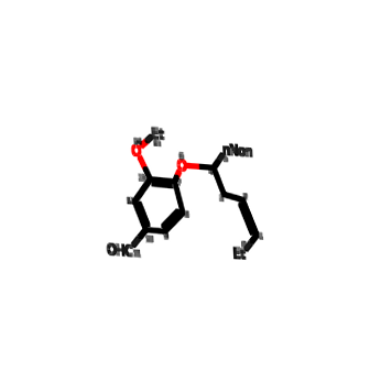 CC/C=C\CC(CCCCCCCCC)Oc1ccc(C=O)cc1OCC